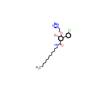 CCCCCCCCCCCCNC(=O)c1cc(Br)c(OCCn2cnnn2)c(-c2cccc(Cl)c2)c1